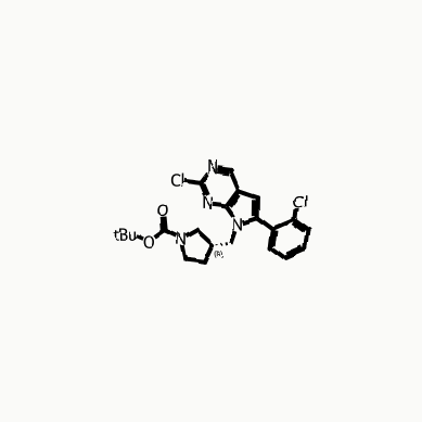 CC(C)(C)OC(=O)N1CC[C@@H](Cn2c(-c3ccccc3Cl)cc3cnc(Cl)nc32)C1